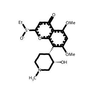 CC[S+]([O-])c1cc(=O)c2c(OC)cc(OC)c([C@H]3CCN(C)C[C@H]3O)c2o1